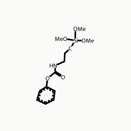 CO[Si](CCCNC(=O)Oc1ccccc1)(OC)OC